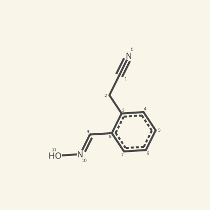 N#CCc1ccccc1C=NO